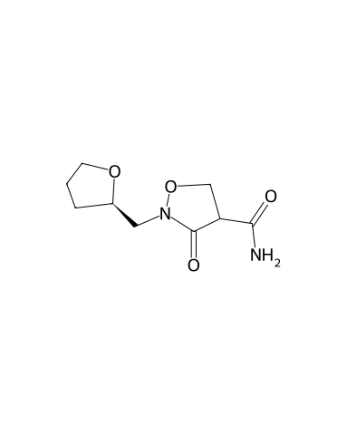 NC(=O)C1CON(C[C@H]2CCCO2)C1=O